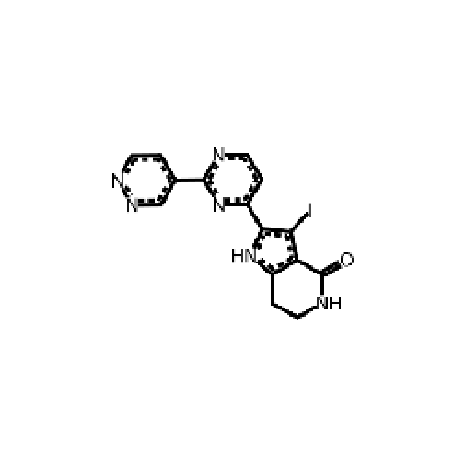 O=C1NCCc2[nH]c(-c3ccnc(-c4ccnnc4)n3)c(I)c21